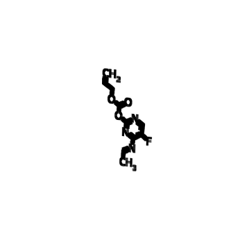 C=CCOC(=O)Oc1ncc(F)c(/N=C/C)n1